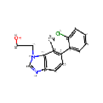 N#Cc1c(-c2ccccc2Cl)ccc2ncn(CCO)c12